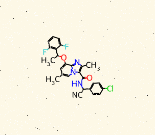 Cc1cc(OC(C)c2c(F)cccc2F)c2nc(C)c(C(=O)NC(C#N)c3ccc(Cl)cc3)n2c1